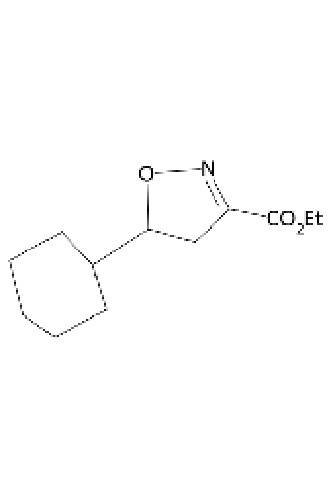 CCOC(=O)C1=NOC(C2CCCCC2)C1